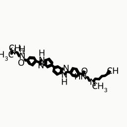 C#CCCCCN(C)CCNC(=O)c1ccc(-c2nc3cc(-c4ccc5[nH]c(-c6ccc(C(=O)NCCN(C)C)cc6)nc5c4)ccc3[nH]2)cc1